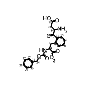 COC(=O)C(Cc1ccccc1C(=O)C(N)CC(=O)O)NC(=O)OCc1ccccc1